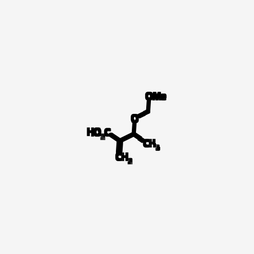 C=C(C(=O)O)C(C)OCOC